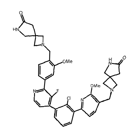 COc1cc(-c2nccc(-c3cccc(-c4ccc(CN5CC6(CNC(=O)C6)C5)c(OC)n4)c3Cl)c2F)ccc1CN1CC2(CNC(=O)C2)C1